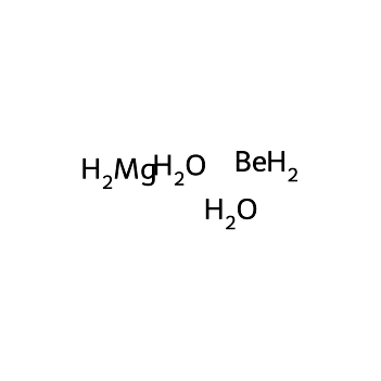 O.O.[BeH2].[MgH2]